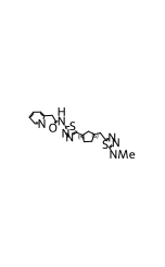 CNc1nnc(C[C@H]2CC[C@@H](c3nnc(NC(=O)Cc4ccccn4)s3)C2)s1